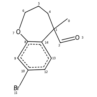 CC1(C=O)CCCOc2cc(Br)ccc21